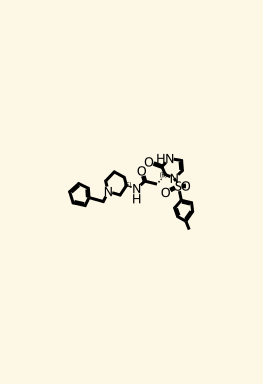 Cc1ccc(S(=O)(=O)N2C=CNC(=O)[C@H]2CC(=O)N[C@H]2CCCN(Cc3ccccc3)C2)cc1